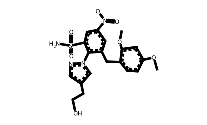 COc1ccc(Cc2cc([N+](=O)[O-])cc(S(N)(=O)=O)c2-n2cc(CCO)cn2)c(OC)c1